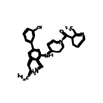 C=C/C=c1/cc(C2C=C(C#N)C=CC2)cc(NC2CCN(C(=O)C3CC=CN=C3C(F)(F)F)CC2)/c1=C/N